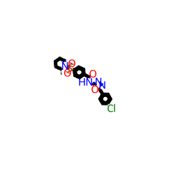 C[C@@H]1CCCCN1S(=O)(=O)c1ccc(C(=O)Nc2nnc(-c3ccc(Cl)cc3)o2)cc1